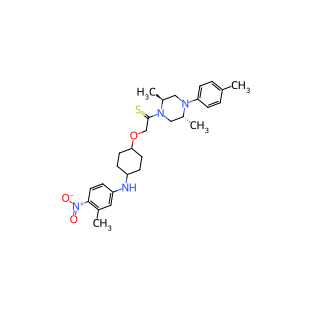 Cc1ccc(N2C[C@H](C)N(C(=S)COC3CCC(Nc4ccc([N+](=O)[O-])c(C)c4)CC3)C[C@H]2C)cc1